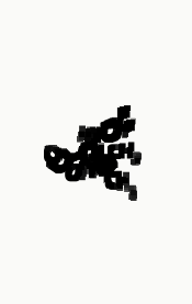 Cc1cc(C)n(-c2nc(NC3CCC(F)(F)CC3)cc(C3COCCC3O)n2)n1